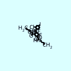 C=CCCNS(=O)(=O)c1cc(C(=O)NOCC=C)c(Nc2ccc(I)cc2Cl)c(F)c1F